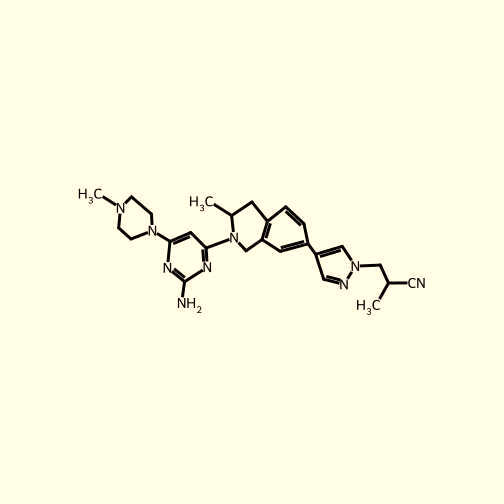 CC(C#N)Cn1cc(-c2ccc3c(c2)CN(c2cc(N4CCN(C)CC4)nc(N)n2)C(C)C3)cn1